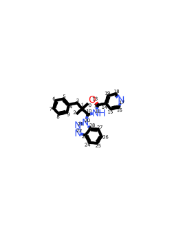 CC(C)(Cc1ccccc1)C(NC(=O)c1ccncc1)n1nnc2ccccc21